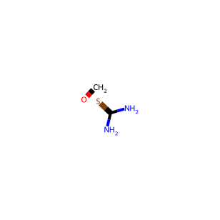 C=O.NC(N)=S